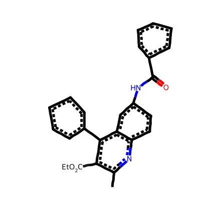 CCOC(=O)c1c(C)nc2ccc(NC(=O)c3ccccc3)cc2c1-c1ccccc1